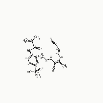 C=C(C)C(=O)Nc1ccc(S(N)(=O)=O)cc1.C=C(CC=CC#N)C(=O)OCC